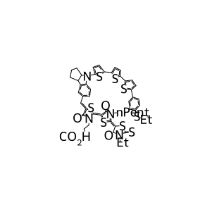 CCCCCn1c(=O)/c(=c2\s/c(=C\c3ccc4c(c3)C3CCCC3N4c3ccc(-c4ccc(-c5ccc(-c6ccc(SCC)cc6)s5)s4)s3)c(=O)n2CCC(=O)O)s/c1=C1/SC(=S)N(CC)C1=O